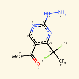 COC(=O)c1cnc(NN)nc1C(F)(F)C(F)(F)F